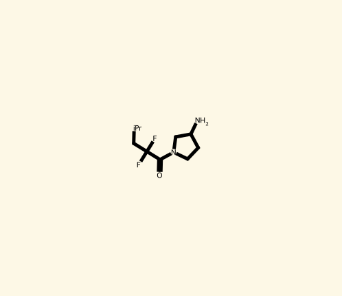 CC(C)CC(F)(F)C(=O)N1CCC(N)C1